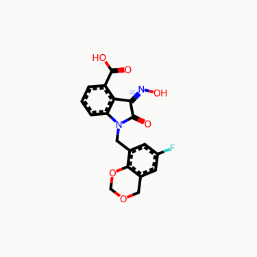 O=C(O)c1cccc2c1/C(=N/O)C(=O)N2Cc1cc(F)cc2c1OCOC2